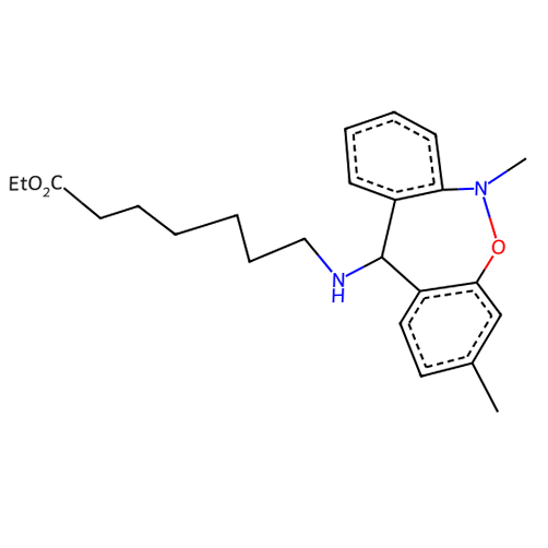 CCOC(=O)CCCCCCNC1c2ccc(C)cc2ON(C)c2ccccc21